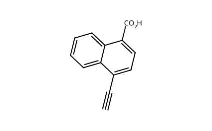 C#Cc1ccc(C(=O)O)c2ccccc12